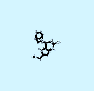 OCc1cc2nc(Cl)nc(N3CC4CC3CO4)c2s1